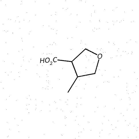 CC1COCC1C(=O)O